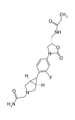 CCC(=O)NC[C@H]1CN(c2ccc(C3[C@H]4CN(CC(N)=O)C[C@@H]34)c(F)c2)C(=O)O1